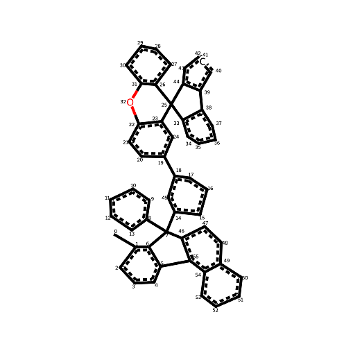 Cc1cccc2c1C(c1ccccc1)(c1cccc(-c3ccc4c(c3)C3(c5ccccc5O4)c4ccccc4-c4ccccc43)c1)c1ccc3ccccc3c1-2